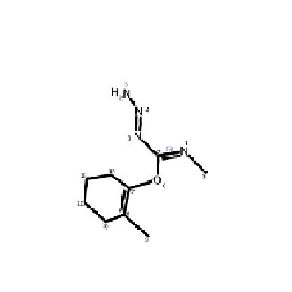 C/N=C(/N=NN)OC1=C(C)CCCC1